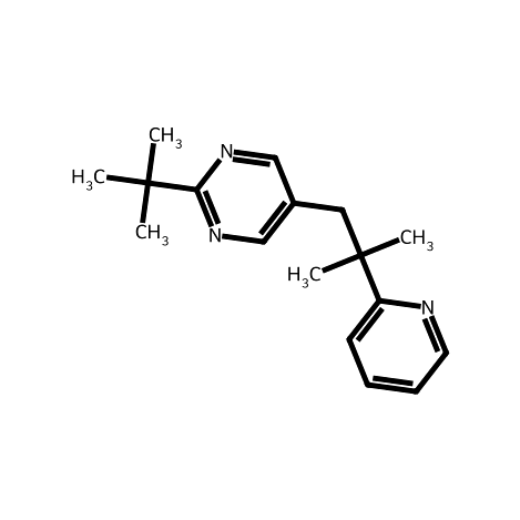 CC(C)(C)c1ncc(CC(C)(C)c2ccccn2)cn1